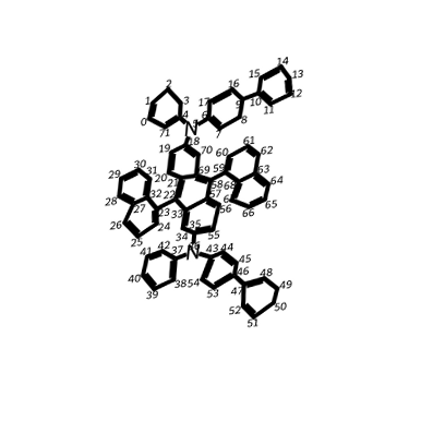 C1=CCCC(N(C2=CCC(c3ccccc3)C=C2)c2ccc3c(-c4cccc5ccccc45)c4cc(N(c5ccccc5)c5ccc(C6=CCCC=C6)cc5)ccc4c(-c4cccc5ccccc45)c3c2)=C1